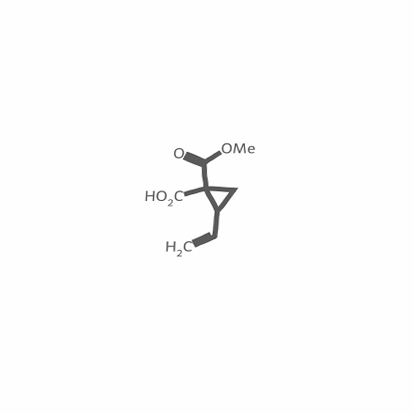 C=CC1CC1(C(=O)O)C(=O)OC